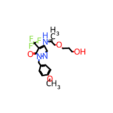 COc1ccc(Cn2ncc(N[C@@H](C)COCCCO)c(C(F)(F)F)c2=O)cc1